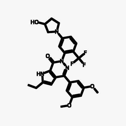 CCc1cc2c(-c3cc(OC)cc(OC)c3)nn(-c3cc(N4CCC(O)C4)ccc3C(F)(F)F)c(=O)c2[nH]1